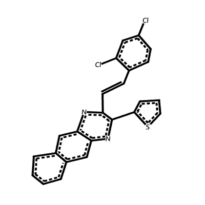 Clc1ccc(/C=C/c2nc3cc4ccccc4cc3nc2-c2cccs2)c(Cl)c1